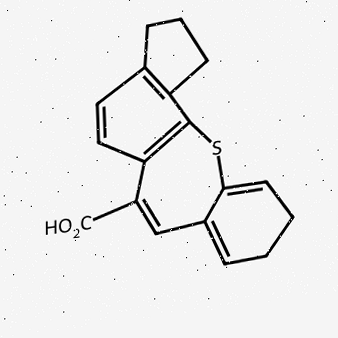 O=C(O)C1=CC2=CCCC=C2Sc2c1ccc1c2CCC1